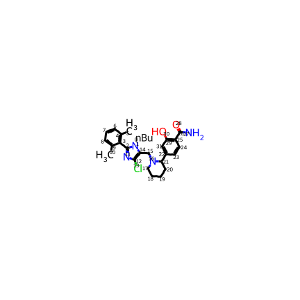 CCCCn1c(-c2c(C)cccc2C)nc(Cl)c1CN1CCCCC1c1ccc(C(N)=O)c(O)c1